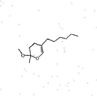 CCCCCCC1=COC(C)(OC)CC1